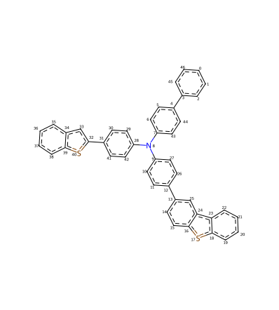 c1ccc(-c2ccc(N(c3ccc(-c4ccc5sc6ccccc6c5c4)cc3)c3ccc(-c4cc5ccccc5s4)cc3)cc2)cc1